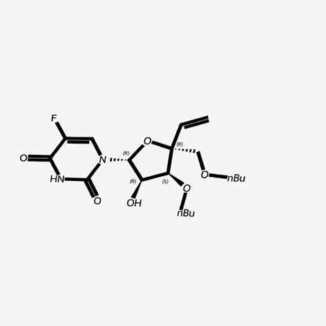 C=C[C@]1(COCCCC)O[C@@H](n2cc(F)c(=O)[nH]c2=O)[C@H](O)[C@@H]1OCCCC